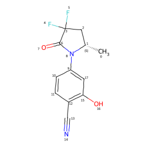 C[C@H]1CC(F)(F)C(=O)N1c1ccc(C#N)c(O)c1